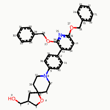 OCC1COC2(CCN(c3ccc(-c4ccc(OCc5ccccc5)nc4OCc4ccccc4)cc3)CC2)C1